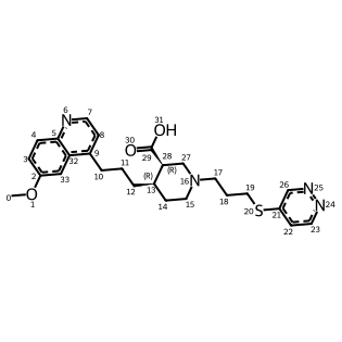 COc1ccc2nccc(CCC[C@@H]3CCN(CCCSc4ccnnc4)C[C@@H]3C(=O)O)c2c1